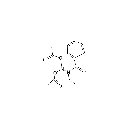 CCN(C(=O)c1ccccc1)N(OC(C)=O)OC(C)=O